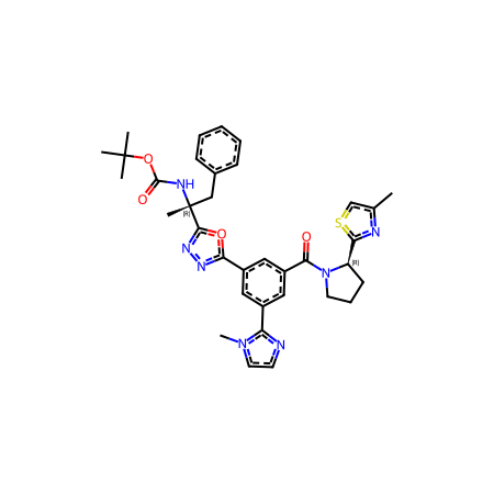 Cc1csc([C@H]2CCCN2C(=O)c2cc(-c3nnc([C@@](C)(Cc4ccccc4)NC(=O)OC(C)(C)C)o3)cc(-c3nccn3C)c2)n1